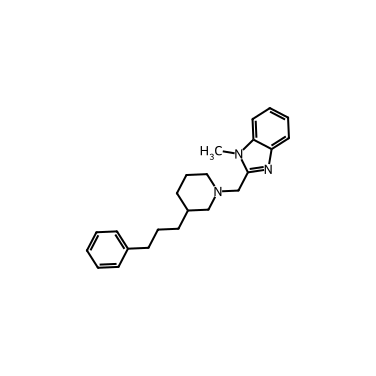 Cn1c(CN2CCCC(CCCc3ccccc3)C2)nc2ccccc21